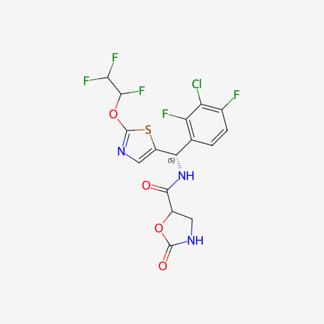 O=C1NCC(C(=O)N[C@H](c2cnc(OC(F)C(F)F)s2)c2ccc(F)c(Cl)c2F)O1